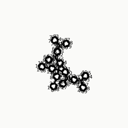 c1ccc(-c2ccc(C3(c4ccc(-c5ccccc5)cc4)c4cc(N(c5ccccc5)c5ccc(N(c6ccccc6)c6ccccc6)cc5)ccc4-c4ccc(N(c5ccccc5)c5ccc(N(c6ccccc6)c6ccccc6)cc5)cc43)cc2)cc1